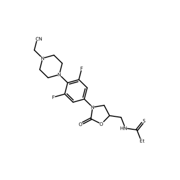 CCC(=S)NCC1CN(c2cc(F)c(N3CCN(CC#N)CC3)c(F)c2)C(=O)O1